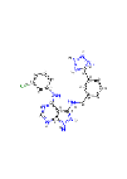 Clc1cccc(Nc2ncnc3[nH]nc(NCc4cccc(-c5nnn[nH]5)c4)c23)c1